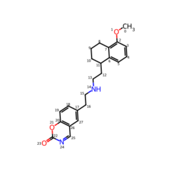 COc1cccc2c1CCCC2CCNCCc1ccc2oc(=O)ncc2c1